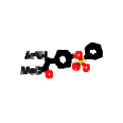 COC(=O)C(NC(C)=O)c1ccc(OS(=O)(=O)c2ccccc2)cc1